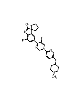 CC1=Nc2c(F)cc(C3=NCN(c4ccc(OC5CCN(C)CC5)cn4)C=C3F)cc2C12CCCC2